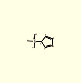 [CH3][Ti]([CH3])([CH3])[CH]1C=CC=C1